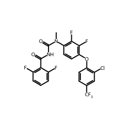 CN(C(=O)NC(=O)c1c(F)cccc1F)c1ccc(Oc2ccc(C(F)(F)F)cc2Cl)c(F)c1F